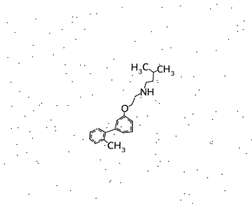 Cc1ccccc1-c1cccc(OCCNCCC(C)C)c1